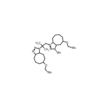 CC(C)(C)COC1CCCC2N=NN(C(C)(C)C[N+]3=NN(C(C)(C)C)C4CC(OCC(C)(C)C)CCCCC43)C2CC1